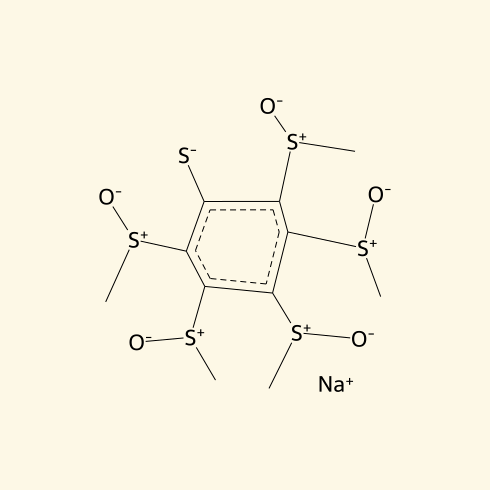 C[S+]([O-])c1c([S-])c([S+](C)[O-])c([S+](C)[O-])c([S+](C)[O-])c1[S+](C)[O-].[Na+]